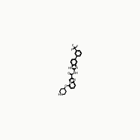 O=C(Nc1nc2cc(-c3cccc(C(F)(F)F)c3)ccc2[nH]1)c1cn2c(OC3CCNCC3)cccc2n1